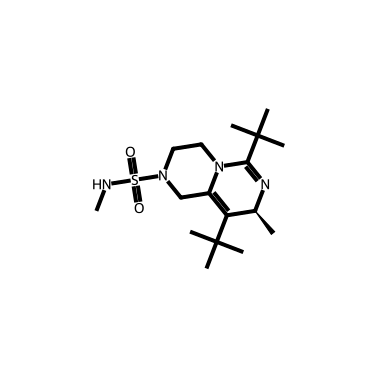 CNS(=O)(=O)N1CCN2C(C(C)(C)C)=N[C@@H](C)C(C(C)(C)C)=C2C1